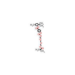 C=C(C)C(=O)OCCOCCOCCOC(=O)Oc1ccc(C(=O)OC2CC(C)CCC2C(C)C)cc1